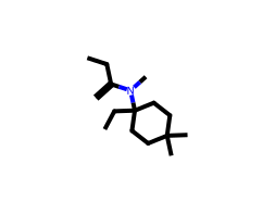 C=C(CC)N(C)C1(CC)CCC(C)(C)CC1